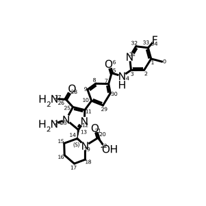 Cc1cc(NC(=O)c2ccc(-c3nc([C@@H]4CCCCN4C(=O)O)n(N)c3C(N)=O)cc2)ncc1F